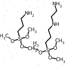 CO[Si](CCCN)(OC)OC.CO[Si](CCCNCCN)(OC)OC